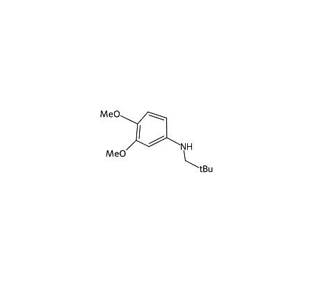 COc1ccc(NCC(C)(C)C)cc1OC